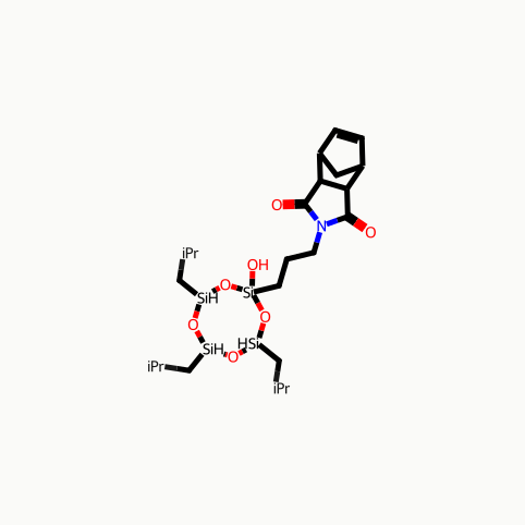 CC(C)C[SiH]1O[SiH](CC(C)C)O[Si](O)(CCCN2C(=O)C3C4C=CC(C4)C3C2=O)O[SiH](CC(C)C)O1